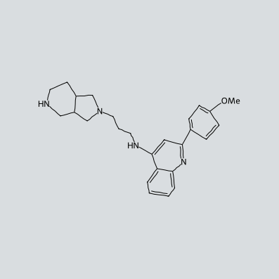 COc1ccc(-c2cc(NCCCN3CC4CCNCC4C3)c3ccccc3n2)cc1